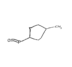 CC1CCC(P=O)C1